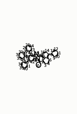 O=c1c2cccc3c(-c4ccccc4)ccc(c32)c2nc3c(-c4ccccc4)c(C4=CCCC=C4)c(-c4ccccc4)cc3n12